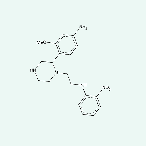 COc1cc(N)ccc1C1CNCCN1CCNc1ccccc1[N+](=O)[O-]